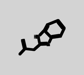 C=C(C)Cc1nc2ccccc2[nH]1